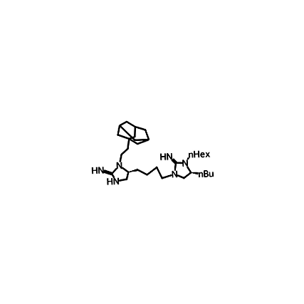 CCCCCCN1C(=N)N(CCCC[C@H]2CNC(=N)N2CCC23CC4CC(CC(C4)C2)C3)C[C@@H]1CCCC